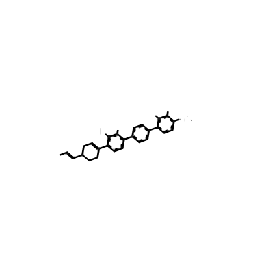 C/C=C/C1CC=C(c2ccc(-c3ccc(-c4ccc(CCCCCCCCC)c(F)c4F)cc3)c(F)c2F)CC1